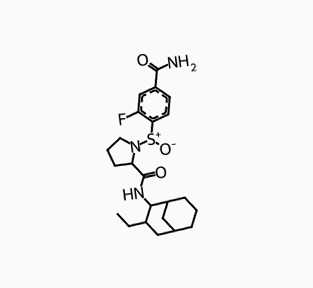 CCC1CC2CCCC(C2)C1NC(=O)C1CCCN1[S+]([O-])c1ccc(C(N)=O)cc1F